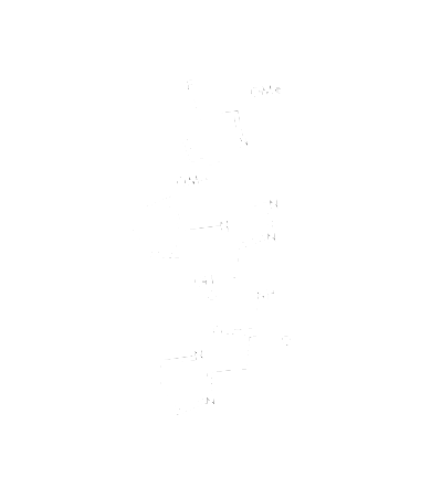 COC1=NC(c2nnc(C(=O)NS(=O)(=O)Cc3ncccn3)n2-c2c(O)cccc2OC)=C=C=C1F